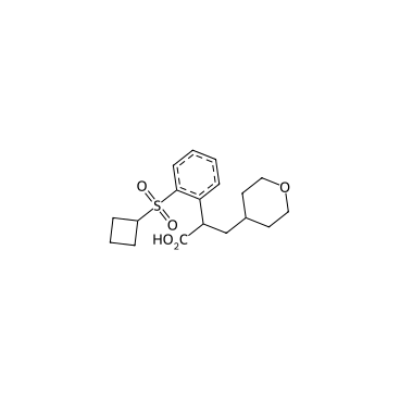 O=C(O)C(CC1CCOCC1)c1ccccc1S(=O)(=O)C1CCC1